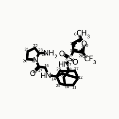 Cc1cc(S(=O)(=O)NC23CC4CC(CC(NCC(=O)N5CCCC5N)(C4)C2)C3)c(C(F)(F)F)o1